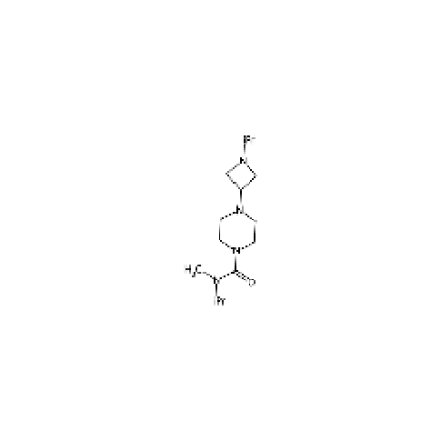 CC(C)N1CC(N2CCN(C(=O)N(C)C(C)C)CC2)C1